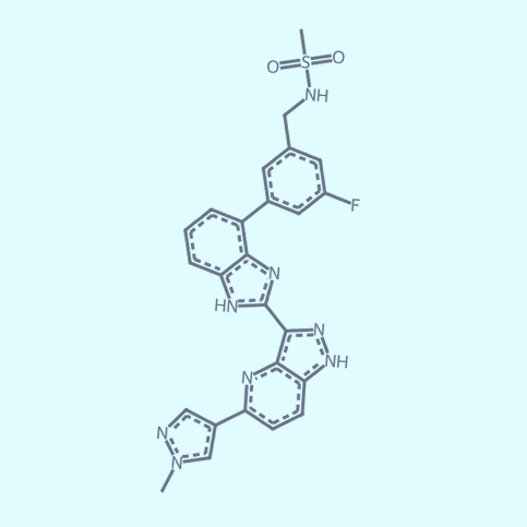 Cn1cc(-c2ccc3[nH]nc(-c4nc5c(-c6cc(F)cc(CNS(C)(=O)=O)c6)cccc5[nH]4)c3n2)cn1